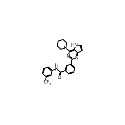 O=C(Nc1cccc(C(F)(F)F)c1)c1cccc(-c2nc(N3CCCCC3)c3[nH]ccc3n2)c1